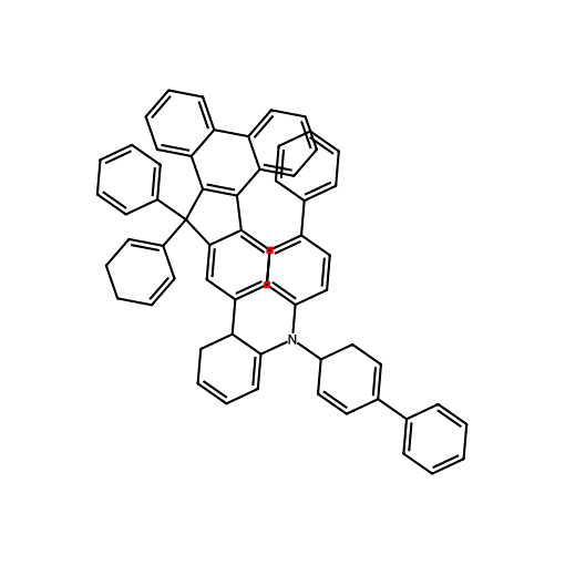 C1=CCC(c2ccc3c(c2)C(C2=CCCC=C2)(c2ccccc2)c2c-3c3ccccc3c3ccccc23)C(N(c2ccc(-c3ccccc3)cc2)C2C=CC(c3ccccc3)=CC2)=C1